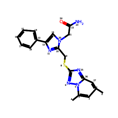 Cc1cc(C)n2nc(SCc3nc(-c4ccccc4)cn3CC(N)=O)nc2c1